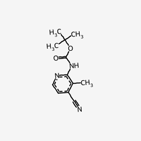 Cc1c(C#N)ccnc1NC(=O)OC(C)(C)C